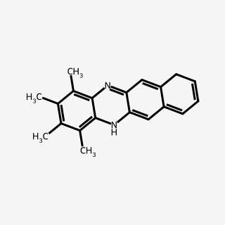 Cc1c(C)c(C)c2c(c1C)N=c1cc3c(cc1N2)=CC=CC3